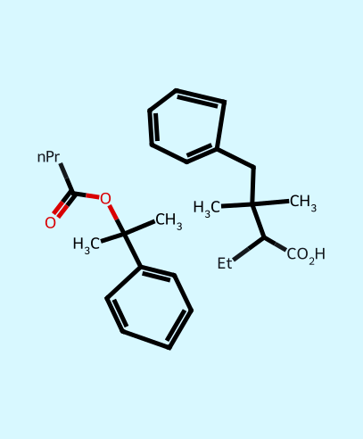 CCC(C(=O)O)C(C)(C)Cc1ccccc1.CCCC(=O)OC(C)(C)c1ccccc1